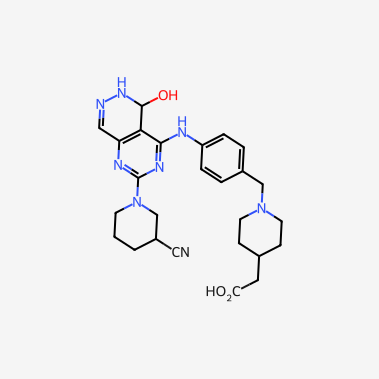 N#CC1CCCN(c2nc3c(c(Nc4ccc(CN5CCC(CC(=O)O)CC5)cc4)n2)C(O)NN=C3)C1